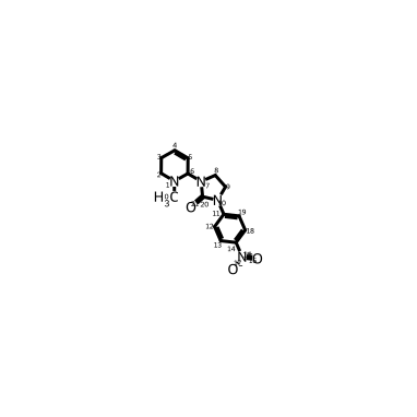 CN1CCC=CC1N1CCN(c2ccc([N+](=O)[O-])cc2)C1=O